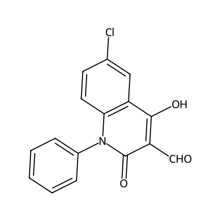 O=Cc1c(O)c2cc(Cl)ccc2n(-c2ccccc2)c1=O